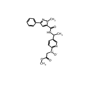 COC(=O)C[S+]([O-])c1ccc(C(C)NC(=O)c2cc(-c3ccccc3)nn2C)cn1